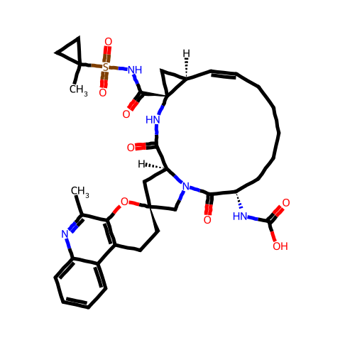 Cc1nc2ccccc2c2c1O[C@]1(CC2)C[C@H]2C(=O)N[C@]3(C(=O)NS(=O)(=O)C4(C)CC4)C[C@H]3C=CCCCCC[C@H](NC(=O)O)C(=O)N2C1